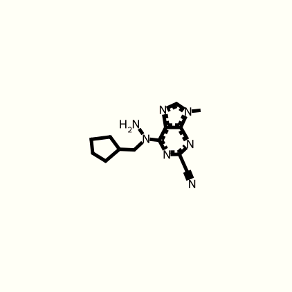 Cn1cnc2c(N(N)CC3CCCC3)nc(C#N)nc21